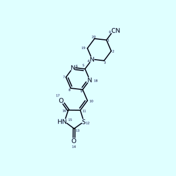 N#CC1CCN(c2nccc(C=C3SC(=O)NC3=O)n2)CC1